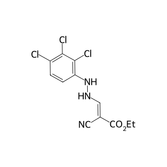 CCOC(=O)C(C#N)=CNNc1ccc(Cl)c(Cl)c1Cl